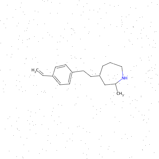 C=Cc1ccc(CCC2CCCNC(C)C2)cc1